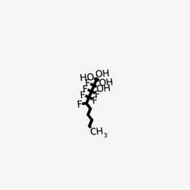 CCCCCC(F)C(F)(F)C(F)(F)C(O)(F)C(O)(O)O